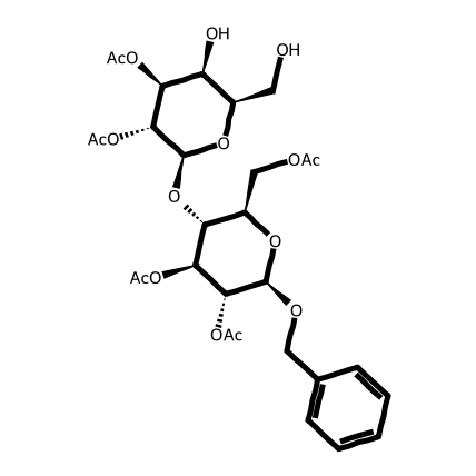 CC(=O)OC[C@H]1O[C@@H](OCc2ccccc2)[C@H](OC(C)=O)[C@@H](OC(C)=O)[C@@H]1O[C@@H]1O[C@H](CO)[C@H](O)[C@H](OC(C)=O)[C@H]1OC(C)=O